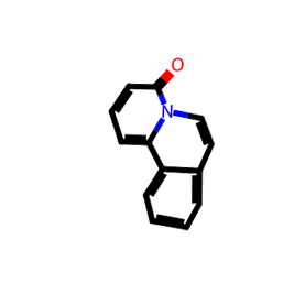 O=c1cccc2c3ccccc3ccn12